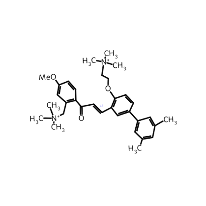 COc1ccc(C(=O)/C=C/c2cc(-c3cc(C)cc(C)c3)ccc2OCC[N+](C)(C)C)c(C[N+](C)(C)C)c1